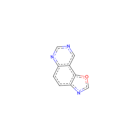 c1ncc2c(ccc3ncoc32)n1